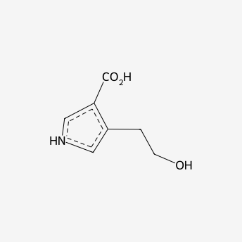 O=C(O)c1c[nH]cc1CCO